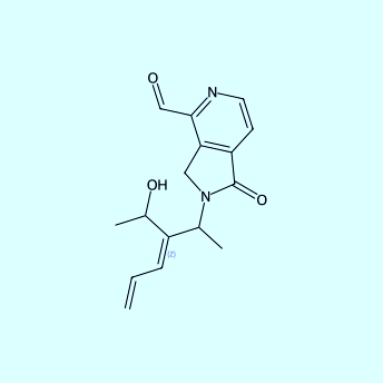 C=C/C=C(\C(C)O)C(C)N1Cc2c(ccnc2C=O)C1=O